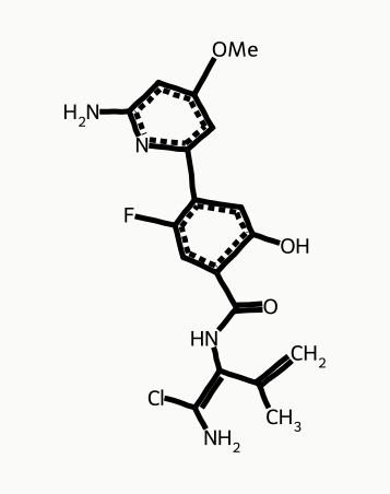 C=C(C)/C(NC(=O)c1cc(F)c(-c2cc(OC)cc(N)n2)cc1O)=C(\N)Cl